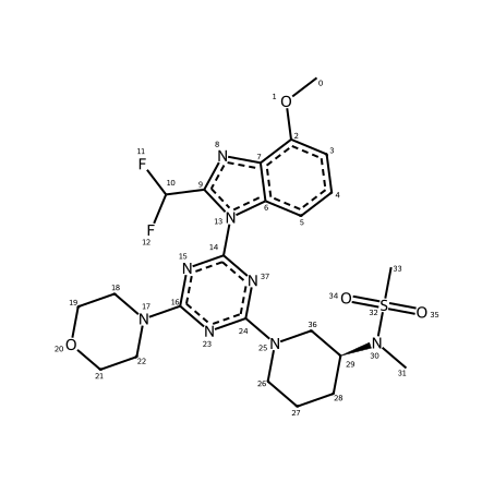 COc1cccc2c1nc(C(F)F)n2-c1nc(N2CCOCC2)nc(N2CCC[C@H](N(C)S(C)(=O)=O)C2)n1